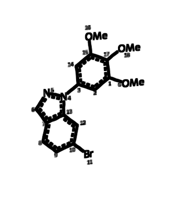 COc1cc(-n2ncc3ccc(Br)cc32)cc(OC)c1OC